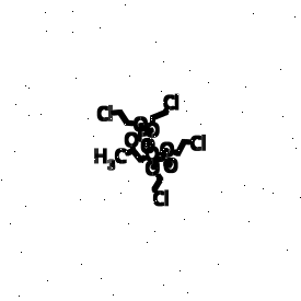 CC(COP(=O)(OCCCl)OCCCl)OP(=O)(OCCCl)OCCCl